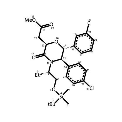 CC[C@@H](CO[Si](C)(C)C(C)(C)C)N1C(=O)[C@@H](CC(=O)OC)O[C@H](c2cccc(Cl)c2)[C@H]1c1ccc(Cl)cc1